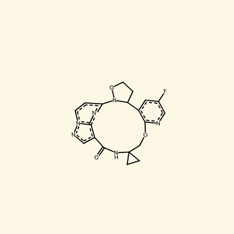 O=C1NC2(CC2)COc2ncc(F)cc2C2CCON2c2ccn3ncc1c3n2